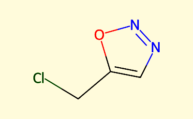 ClCc1cnno1